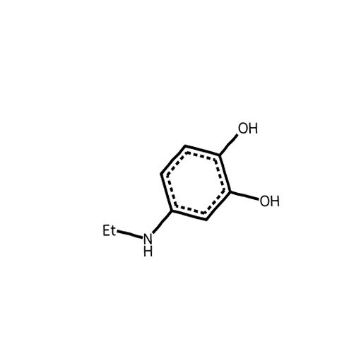 CCNc1ccc(O)c(O)c1